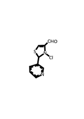 O=CC1=CSC(c2cccnc2)N1Cl